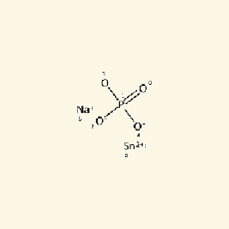 O=P([O-])([O-])[O-].[Na+].[Sn+2]